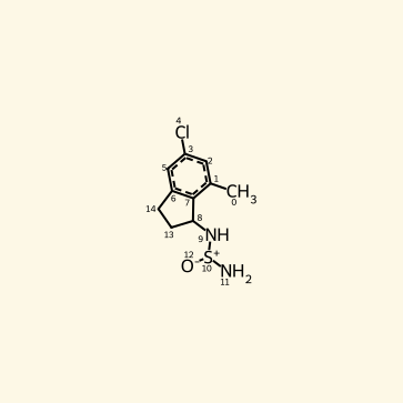 Cc1cc(Cl)cc2c1C(N[S+](N)[O-])CC2